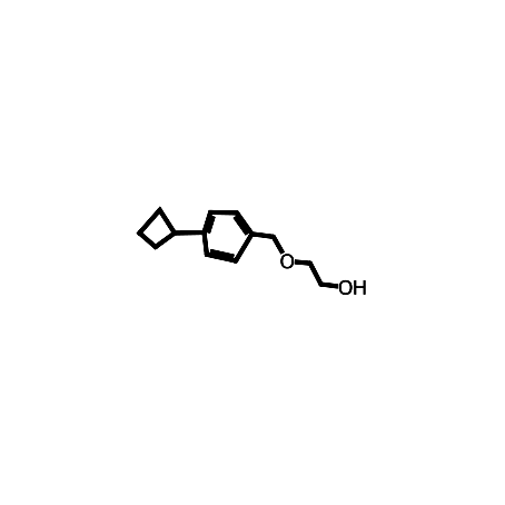 OCCOCc1ccc(C2CCC2)cc1